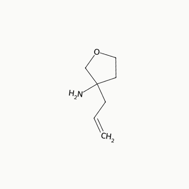 C=CCC1(N)CCOC1